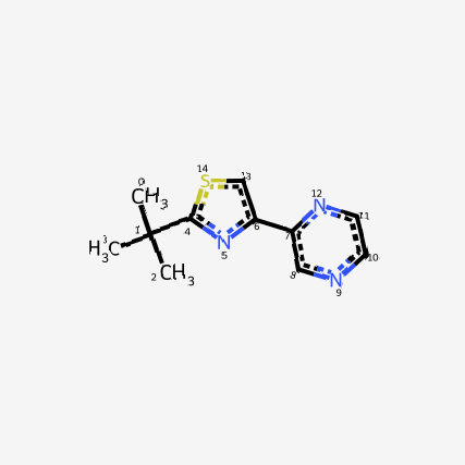 CC(C)(C)c1nc(-c2cnccn2)cs1